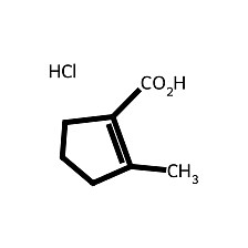 CC1=C(C(=O)O)CCC1.Cl